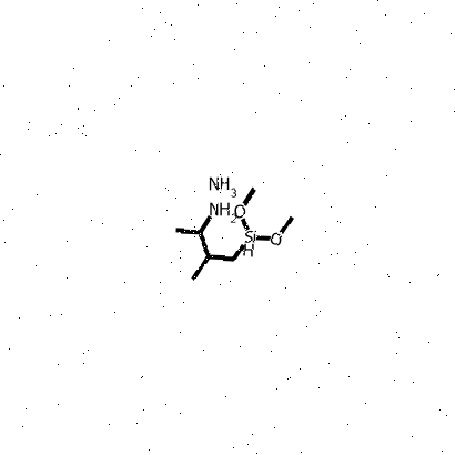 CO[SiH](CC(C)C(C)N)OC.N